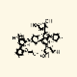 CCCOc1ccccc1-c1nc2[nH]nnc2c(=O)[nH]1.OCCN(CCO)c1nc(N2CCCCC2)c2nc(N(CCO)CCO)nc(N3CCCCC3)c2n1